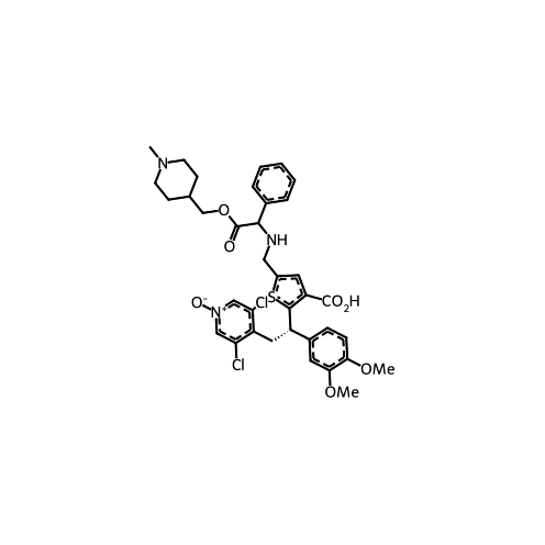 COc1ccc([C@H](Cc2c(Cl)c[n+]([O-])cc2Cl)c2sc(CNC(C(=O)OCC3CCN(C)CC3)c3ccccc3)cc2C(=O)O)cc1OC